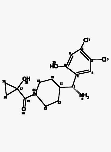 N[C@@H](c1cc(Cl)c(Cl)cc1O)C1CCN(C(=O)C2(O)CC2)CC1